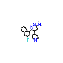 CN(C)c1cc(-c2ccncc2)c(-c2cc(F)cc3ccccc23)nn1